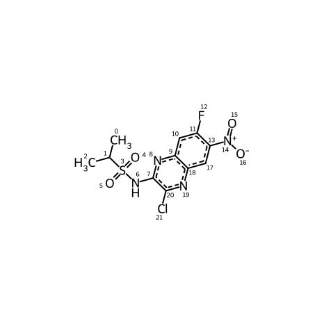 CC(C)S(=O)(=O)Nc1nc2cc(F)c([N+](=O)[O-])cc2nc1Cl